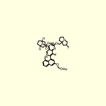 COCOc1cc(-c2ncc3c(N4C[C@H]5CC[C@@H](C4)N5C(=O)OC(C)(C)C)nc(OCC45CCCN4CC(F)C5)nc3c2F)c2c(C(C)C)cccc2c1